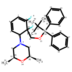 C[C@@H]1CN(C2C=CC=C(F)C2(F)CO[Si](c2ccccc2)(c2ccccc2)C(C)(C)C)C[C@H](C)O1